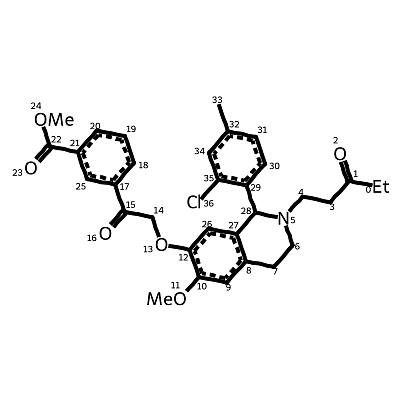 CCC(=O)CCN1CCc2cc(OC)c(OCC(=O)c3cccc(C(=O)OC)c3)cc2C1c1ccc(C)cc1Cl